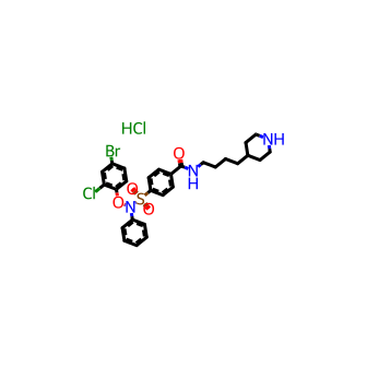 Cl.O=C(NCCCCC1CCNCC1)c1ccc(S(=O)(=O)N(Oc2ccc(Br)cc2Cl)c2ccccc2)cc1